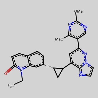 COc1ncc(-c2cc(C3C[C@@H]3c3ccc4ccc(=O)n(CC(F)(F)F)c4c3)c3nccn3n2)c(OC)n1